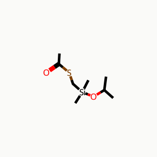 CC(=O)SC[Si](C)(C)OC(C)C